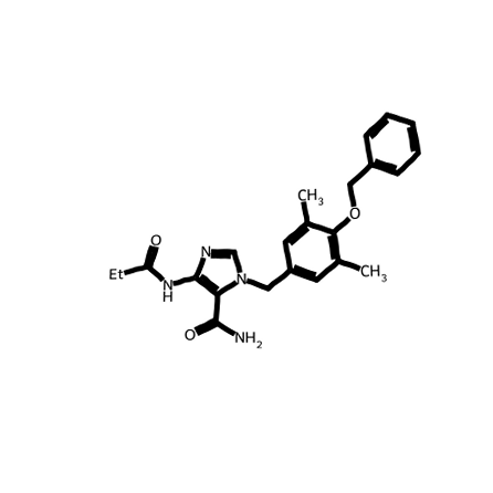 CCC(=O)Nc1ncn(Cc2cc(C)c(OCc3ccccc3)c(C)c2)c1C(N)=O